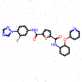 O=C(Nc1ccc(-n2cncn2)c(F)c1)c1ccc(C(=O)Nc2ccccc2Oc2cccnc2)s1